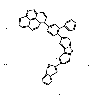 c1ccc(-c2cc(-c3ccc4ccc5cccc6ccc3c4c56)ccc2-c2ccc3sc4ccc(-c5ccc6ccccc6c5)cc4c3c2)cc1